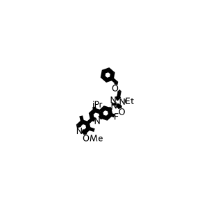 CCn1c(COCc2ccccc2)nn(-c2cc3c(C(C)C)cc(-c4c(C)cnc(OC)c4C)nc3cc2F)c1=O